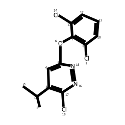 CC(C)c1cc(Oc2c(Cl)c[c]cc2Cl)nnc1Cl